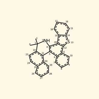 CC1(C)Nc2c(c3ccccc3c3sc4ccccc4c23)-c2c1ccc1ccccc21